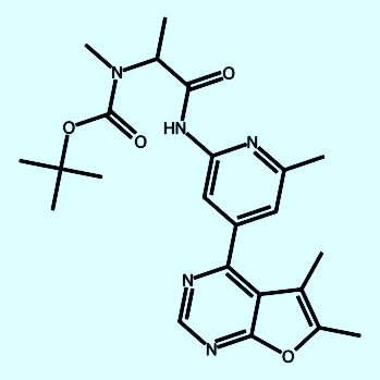 Cc1cc(-c2ncnc3oc(C)c(C)c23)cc(NC(=O)C(C)N(C)C(=O)OC(C)(C)C)n1